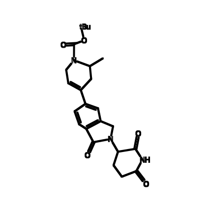 CC1CC(c2ccc3c(c2)CN(C2CCC(=O)NC2=O)C3=O)=CCN1C(=O)OC(C)(C)C